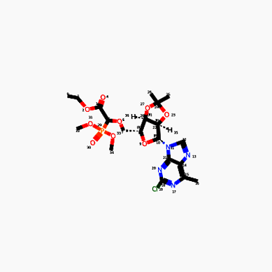 CCOC(=O)C(OC[C@H]1O[C@@H](n2cnc3c(C)nc(Cl)nc32)[C@@H]2OC(C)(C)O[C@@H]21)P(=O)(OC)OC